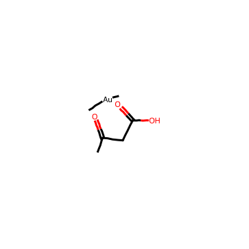 CC(=O)CC(=O)O.[CH3][Au][CH3]